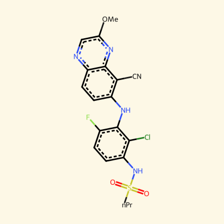 CCCS(=O)(=O)Nc1ccc(F)c(Nc2ccc3ncc(OC)nc3c2C#N)c1Cl